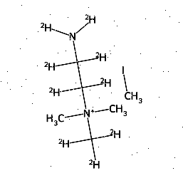 CI.[2H]N([2H])C([2H])([2H])C([2H])([2H])[N+](C)(C)C([2H])([2H])[2H]